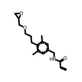 C=CC(=O)NCc1cc(C)c(CCCOCC2CO2)c(C)c1